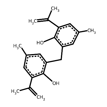 C=C(C)c1cc(C)cc(Cc2cc(C)cc(C(=C)C)c2O)c1O